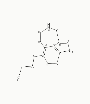 ClC=CCc1ccc2scc3c2c1CCNC3